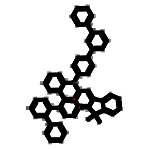 CC1(C)c2ccccc2-c2cc(N(c3ccc(-c4cccc(-c5ccccc5)c4)cc3)c3ccccc3-c3ccccc3-c3ccccc3-c3ccccc3)ccc21